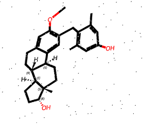 COc1cc2c(cc1Cc1c(C)cc(O)cc1C)[C@H]1CC[C@]3(C)[C@H](O)CC[C@H]3[C@@H]1CC2